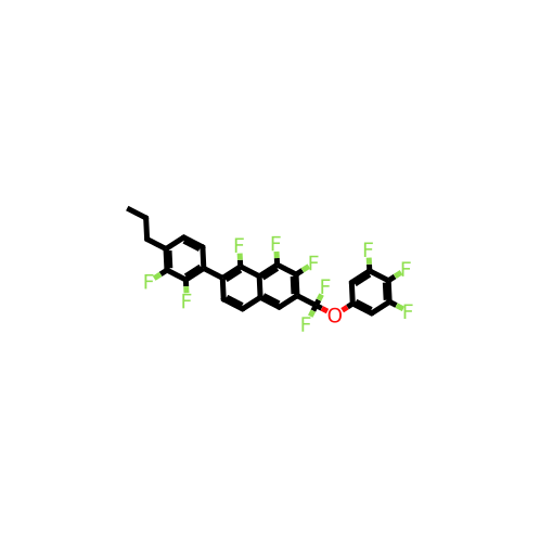 CCCc1ccc(-c2ccc3cc(C(F)(F)Oc4cc(F)c(F)c(F)c4)c(F)c(F)c3c2F)c(F)c1F